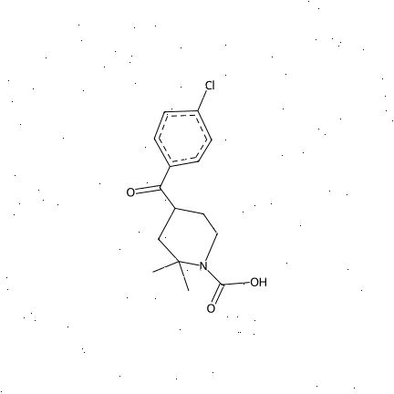 CC1(C)CC(C(=O)c2ccc(Cl)cc2)CCN1C(=O)O